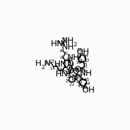 N=C(N)NCCCC(NC(=O)C(CCCCN)NC(=O)[C@@H]1CCCN1C(=O)C(NC(=O)Cc1ccc(O)cc1)c1ccc(O)cc1)C(N)=O